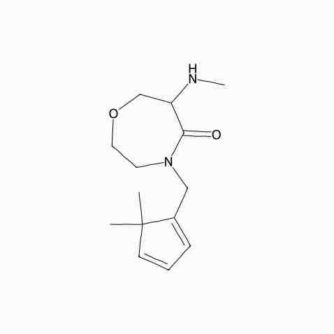 CNC1COCCN(CC2=CC=CC2(C)C)C1=O